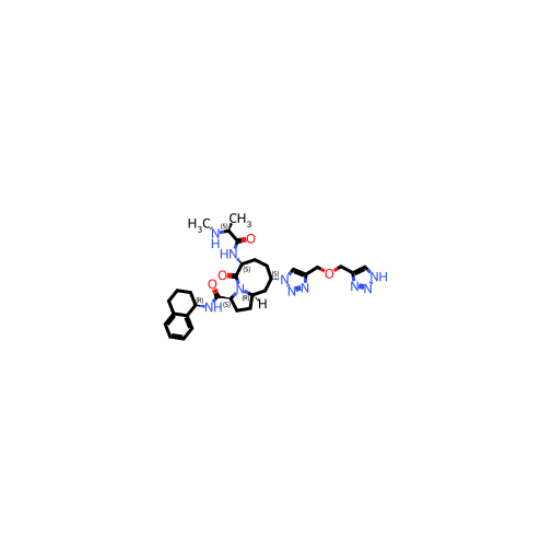 CN[C@@H](C)C(=O)N[C@H]1CC[C@H](n2cc(COCc3c[nH]nn3)nn2)C[C@H]2CC[C@@H](C(=O)N[C@@H]3CCCc4ccccc43)N2C1=O